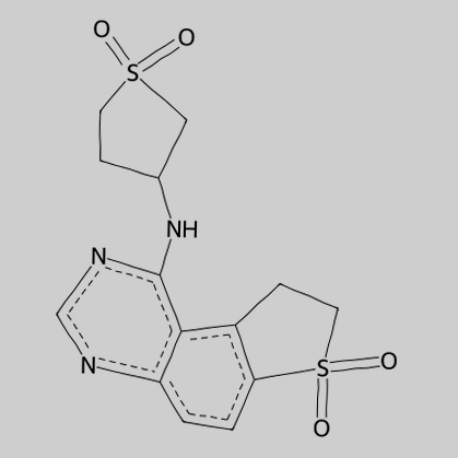 O=S1(=O)CCC(Nc2ncnc3ccc4c(c23)CCS4(=O)=O)C1